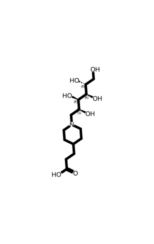 O=C(O)CCC1CCN(C[C@H](O)[C@@H](O)[C@H](O)[C@H](O)CO)CC1